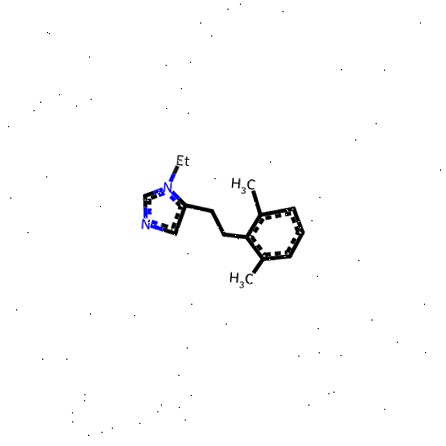 CCn1cncc1CCc1c(C)cccc1C